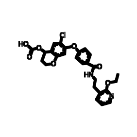 CCOc1ncccc1CCNC(=O)c1ccc(Oc2cc3c(cc2Cl)C(OC(=O)O)CCO3)cc1